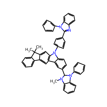 CN1c2ccccc2N(c2ccccc2)C1c1ccc2c(c1)c1cc3c(cc1n2-c1ccc(-c2nc4ccccc4n2-c2ccccc2)cc1)C(C)(C)c1ccccc1-3